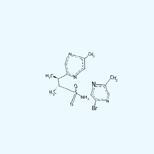 Cc1cnc(Br)cn1.Cc1cnc([C@H](C)[C@@H](C)S(N)(=O)=O)cn1